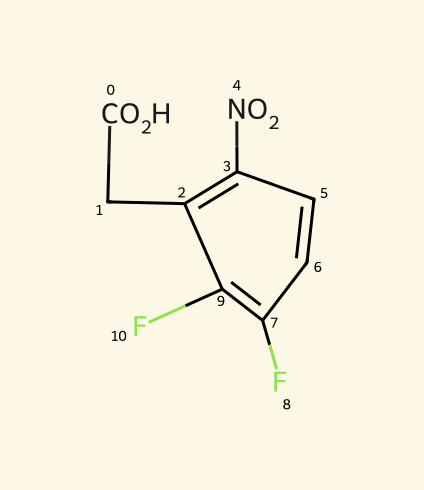 O=C(O)Cc1c([N+](=O)[O-])ccc(F)c1F